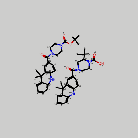 CC(C)(C)OC(=O)N1CCN(C(=O)c2ccc3c(c2)C(C)(C)c2ccccc2N3)CC1.CC1(C)c2ccccc2Nc2ccc(C(=O)N3CCN(C(=O)O)C(C(C)(C)C)C3)cc21